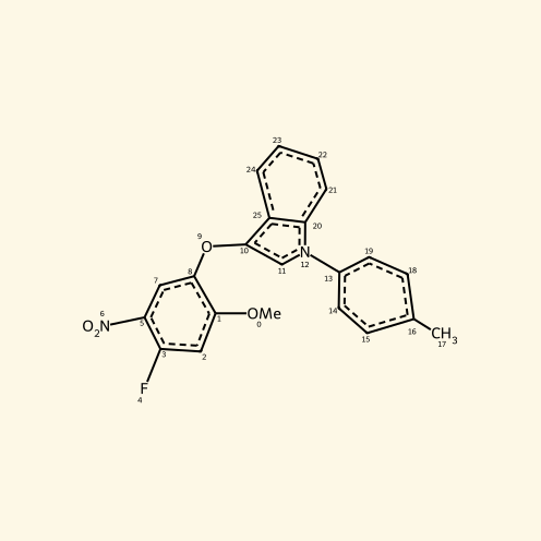 COc1cc(F)c([N+](=O)[O-])cc1Oc1cn(-c2ccc(C)cc2)c2ccccc12